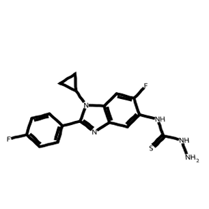 NNC(=S)Nc1cc2nc(-c3ccc(F)cc3)n(C3CC3)c2cc1F